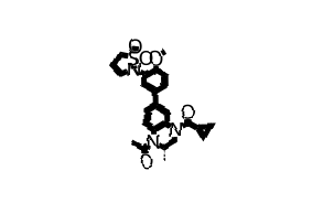 COc1ccc(-c2ccc3c(c2)N(C(=O)C2CC2)C[C@H](C)N3C(C)=O)cc1N1CCCS1(=O)=O